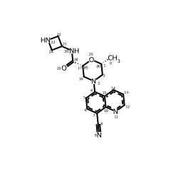 C[C@@H]1CN(c2ccc(C#N)c3ncccc23)C[C@H](C(=O)NC2CNC2)O1